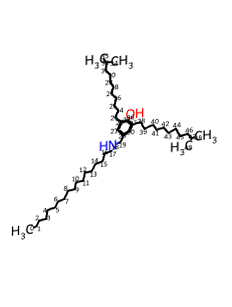 CCCCCCCCCCCCCCCCCCNCc1cc(CCCCCCCCCC(C)C)c(O)c(CCCCCCCCCC(C)C)c1